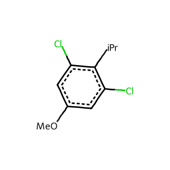 COc1cc(Cl)c(C(C)C)c(Cl)c1